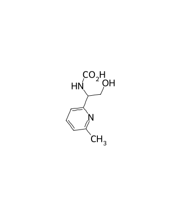 Cc1cccc(C(CO)NC(=O)O)n1